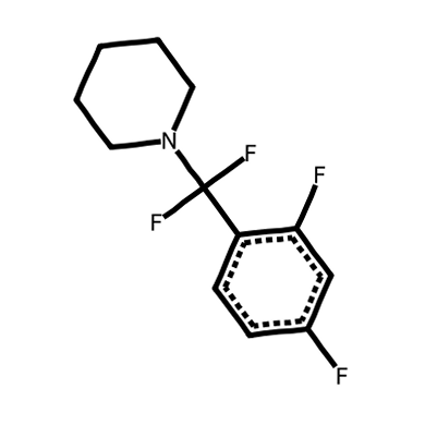 Fc1ccc(C(F)(F)N2CCCCC2)c(F)c1